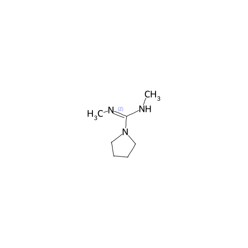 C/N=C(/NC)N1CCCC1